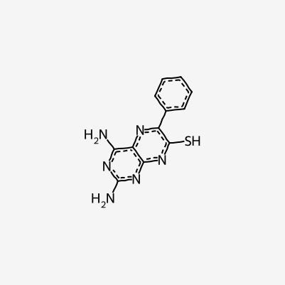 Nc1nc(N)c2nc(-c3ccccc3)c(S)nc2n1